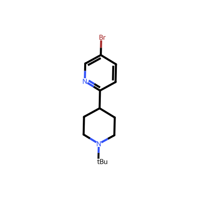 CC(C)(C)N1CCC(c2ccc(Br)cn2)CC1